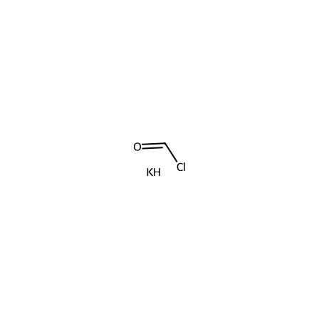 O=CCl.[KH]